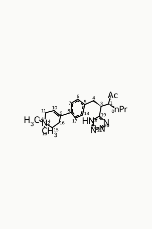 CCC[C@H](C(C)=O)[C@H](Cc1ccc(C2=CC[N+](C)(C)CC2)cc1)c1nnn[nH]1